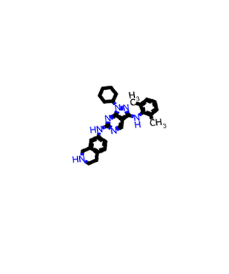 Cc1cccc(C)c1Nc1nn(C2CCCCC2)c2nc(Nc3ccc4c(c3)CNCC4)ncc12